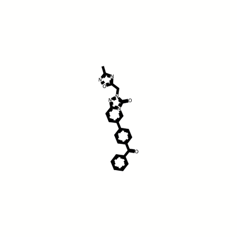 Cc1noc(Cn2nc3ccc(-c4ccc(C(=O)c5ccccc5)cc4)cn3c2=O)n1